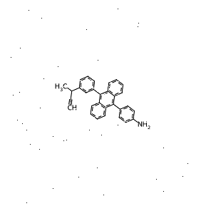 C#CC(C)c1cccc(-c2c3ccccc3c(-c3ccc(N)cc3)c3ccccc23)c1